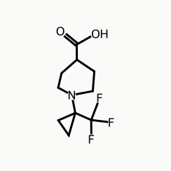 O=C(O)C1CCN(C2(C(F)(F)F)CC2)CC1